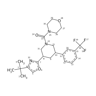 CC(C)(C)c1coc(C2CC(c3cccc(C(F)(F)F)c3)CN(C(=O)N3CCOCC3)C2)n1